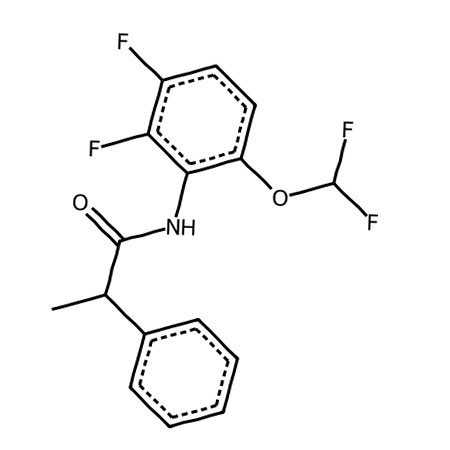 CC(C(=O)Nc1c(OC(F)F)ccc(F)c1F)c1ccccc1